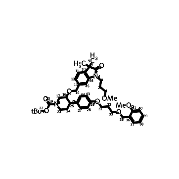 COCCCN1C(=O)C(C)(C)c2ccc(COC3CN(C(=O)OC(C)(C)C)CCC3c3ccc(OCCCOCc4ccccc4OC)cc3)cc21